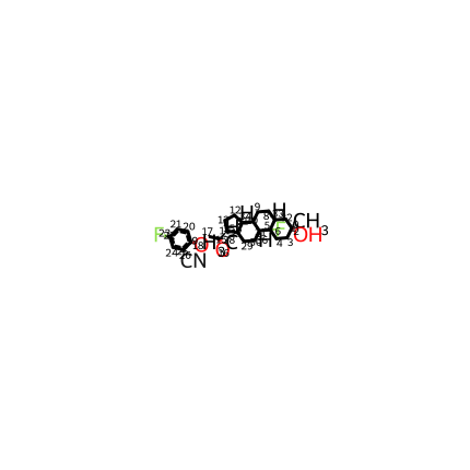 C[C@@]1(O)CC[C@@]2(F)[C@H](CC[C@H]3[C@@H]4CC[C@H](C(=O)COc5ccc(F)cc5C#N)[C@@]4(C)CC[C@@H]32)C1